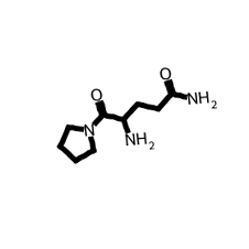 NC(=O)CCC(N)C(=O)N1CCCC1